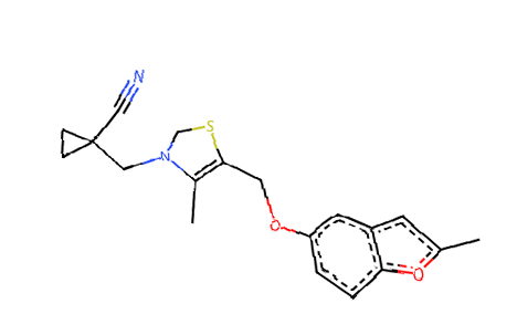 CC1=C(COc2ccc3oc(C)cc3c2)SCN1CC1(C#N)CC1